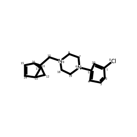 Clc1cccc(N2CCN(CC3CC4C=CC3C4)CC2)c1